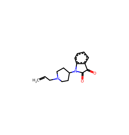 C=CCN1CCC(N2C(=O)C(=O)c3ccccc32)CC1